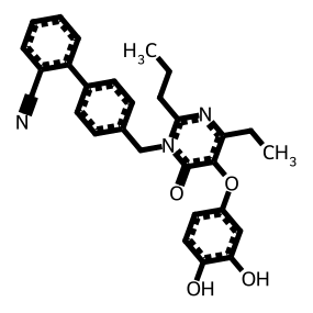 CCCc1nc(CC)c(Oc2ccc(O)c(O)c2)c(=O)n1Cc1ccc(-c2ccccc2C#N)cc1